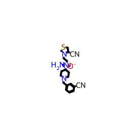 N#Cc1cccc(CN2CCC([N+](N)([O-])CCN3CSCC3C#N)CC2)c1